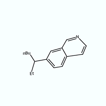 CCCCC(CC)c1ccc2ccncc2c1